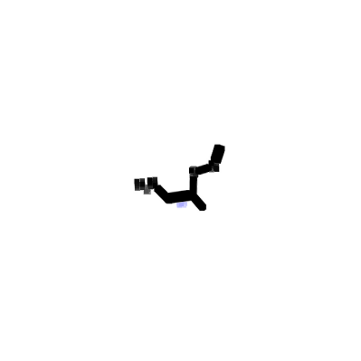 C=NS/C(C)=C\N